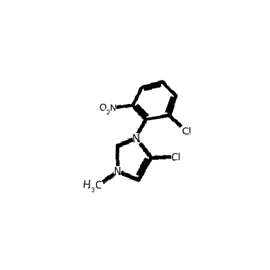 CN1C=C(Cl)N(c2c(Cl)cccc2[N+](=O)[O-])C1